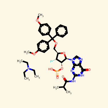 CCN(CC)CC.COc1ccc(C(OC[C@H]2O[C@@H](n3cnc4c(=O)[nH]c(NC(=O)C(C)C)nc43)[C@H](O[PH](=O)O)[C@@H]2F)(c2ccccc2)c2ccc(OC)cc2)cc1